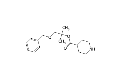 CC(C)(COCc1ccccc1)OC(=O)C1CCNCC1